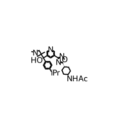 CC(=O)N[C@H]1CC[C@H](c2nc(-c3cncc([C@@](O)(c4ccc(C(C)C)cc4)C4(C)CN(C)C4)c3)no2)CC1